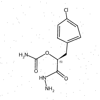 NNC(=O)[C@H](Cc1ccc(Cl)cc1)OC(N)=O